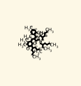 CCCCC(CC)CN(CC(CC)CCCC)C1=NC(c2c(C)cc(C)cc2C)=C(/C=C2\C(=O)C(C(CCCC)CCCC)C(=O)C(C)=C2C)C1